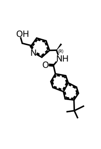 C[C@@H](NC(=O)c1ccc2cc(C(C)(C)C)ccc2c1)c1ccc(CO)nc1